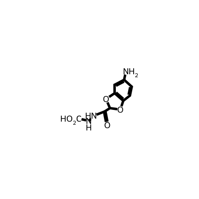 Nc1ccc2c(c1)OC(C(=O)NNC(=O)O)O2